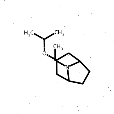 CCN1C2CCC1CC(OC(C)C)C2